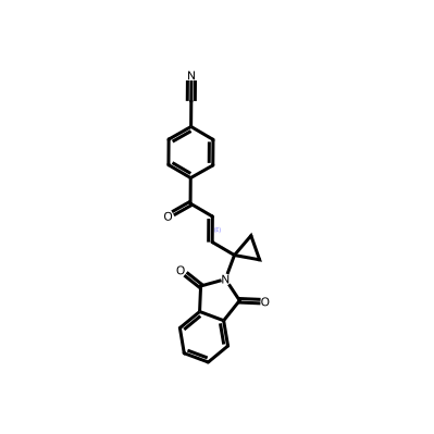 N#Cc1ccc(C(=O)/C=C/C2(N3C(=O)c4ccccc4C3=O)CC2)cc1